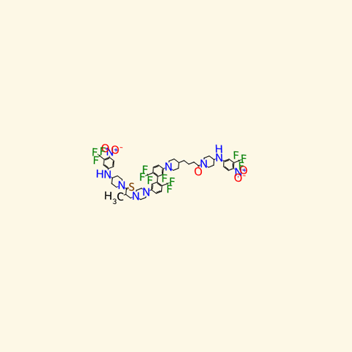 CC(CN1CCN(c2ccc(C(F)(F)F)c(-c3cc(N4CCC(CCCC(=O)N5CCC(Nc6ccc([N+](=O)[O-])c(C(F)(F)F)c6)CC5)CC4)ccc3C(F)(F)F)c2)CC1)C(=S)N1CCC(Nc2ccc([N+](=O)[O-])c(C(F)(F)F)c2)CC1